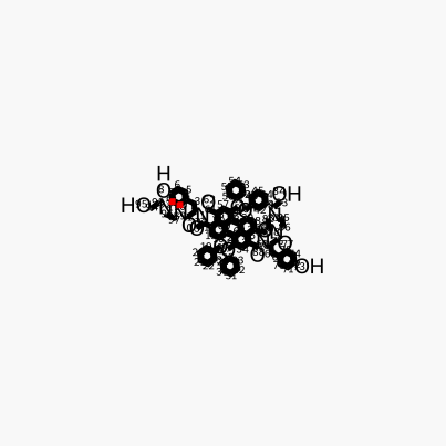 O=C(C(Cc1ccc(O)cc1)N1C(=O)c2cc(Oc3ccccc3)c3c4c(Oc5ccccc5)cc5c6c(cc(Oc7ccccc7)c(c7c(Oc8ccccc8)cc(c2c37)C1=O)c64)C(=O)N(C(Cc1ccc(O)cc1)C(=O)N1CCN(CCO)CC1)C5=O)N1CCN(CCO)CC1